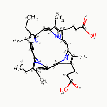 CCC1=C(C)c2cc3[nH]c(cc4nc(cc5[nH]c(cc1n2)c(C)c5CCC(=O)O)C(C)=C4CCC(=O)O)c(C)c3CC